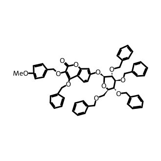 COc1ccc(COc2c(OCc3ccccc3)c3ccc(O[C@@H]4O[C@H](COCc5ccccc5)[C@@H](OCc5ccccc5)[C@H](OCc5ccccc5)[C@H]4OCc4ccccc4)cc3oc2=O)cc1